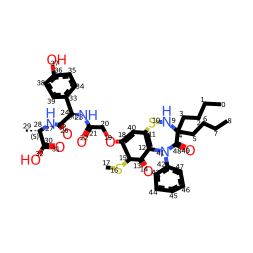 CCCCC1(CCCC)NSC2=C(C(=O)C(SC)C(OCC(=O)N[C@@H](C(=O)N[C@@H](C)C(=O)O)c3ccc(O)cc3)=C2)N(c2ccccc2)C1=O